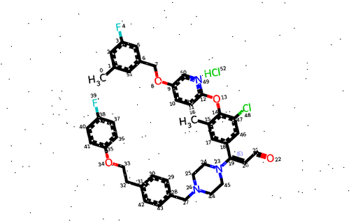 Cc1cc(F)cc(COc2ccc(Oc3c(C)cc(/C(=C\C=O)N4CCN(Cc5ccc(CCOc6ccc(F)cc6)cc5)CC4)cc3Cl)nc2)c1.Cl